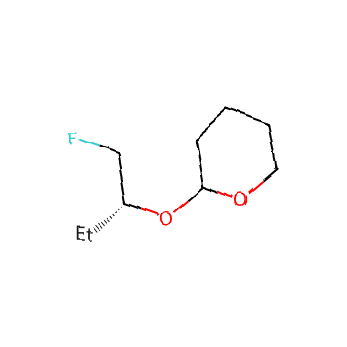 CC[C@H](CF)OC1CCCCO1